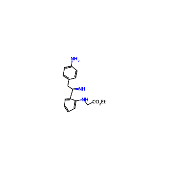 CCOC(=O)CNc1ccccc1C(=N)Cc1ccc(N)cc1